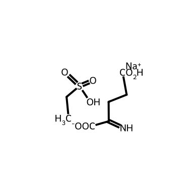 CCS(=O)(=O)O.N=C(CCC(=O)O)C(=O)[O-].[Na+]